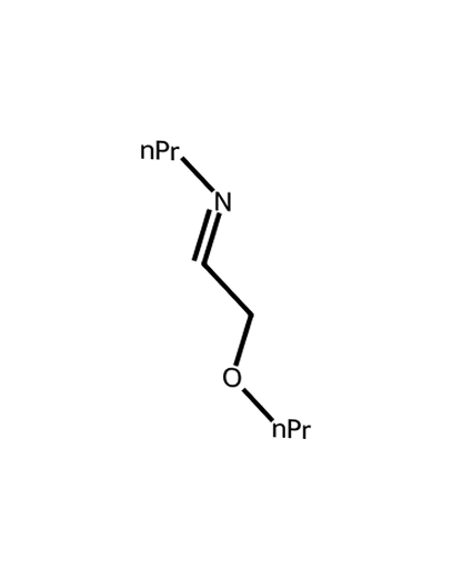 CCC/N=C/COCCC